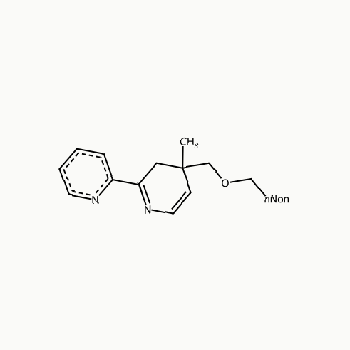 CCCCCCCCCCOCC1(C)C=CN=C(c2ccccn2)C1